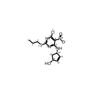 CCCSc1nc(Cl)c([N+](=O)[O-])c(N[C@H]2C=C[C@@H](O)C2)n1